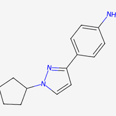 Nc1ccc(-c2ccn(C3CCCC3)n2)cc1